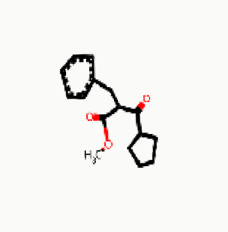 COC(=O)C(Cc1ccccc1)C(=O)C1CCCC1